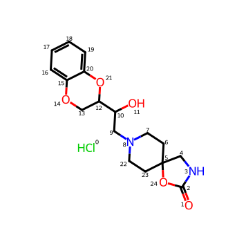 Cl.O=C1NCC2(CCN(CC(O)C3COc4ccccc4O3)CC2)O1